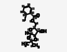 CC1(C)OC2[C@@H](O[C@@H](COC(=O)c3ccccc3I)[C@H]2O)O1